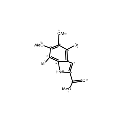 COC(=O)c1cc2c(Br)c(OC)c(OC)c(Br)c2[nH]1